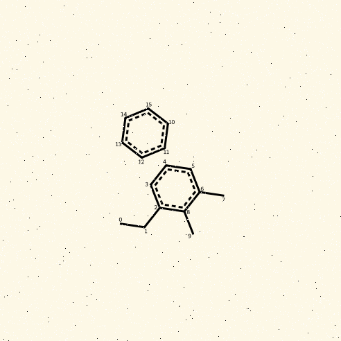 CCc1cccc(C)c1C.c1ccccc1